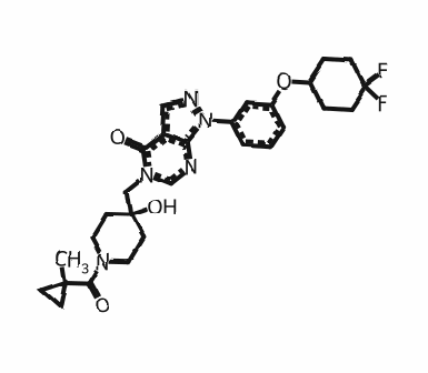 CC1(C(=O)N2CCC(O)(Cn3cnc4c(cnn4-c4cccc(OC5CCC(F)(F)CC5)c4)c3=O)CC2)CC1